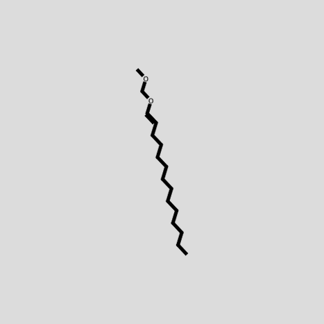 CCCCCCCCCCCCC=COCOC